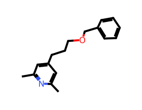 Cc1cc(CCCOCc2ccccc2)cc(C)n1